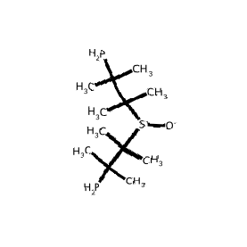 CC(C)(P)C(C)(C)[S+]([O-])C(C)(C)C(C)(C)P